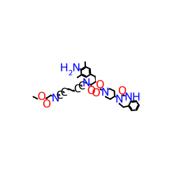 CCOC(=O)CN=C=C=CC=C=C=NC(=O)[C@@H](Cc1cc(C)c(N)c(C)c1)OC(=O)N1CCC(N2CCc3ccccc3NC2=O)CC1